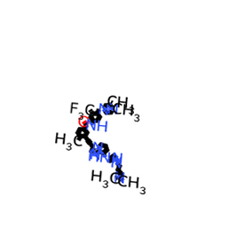 Cc1ccc(C(=O)Nc2ccc(CN3CCN(C)[C@H](C)C3)c(C(F)(F)F)c2)cc1C#Cc1cnc2c(Nc3cnn(CCCN(C)C)c3)cccn12